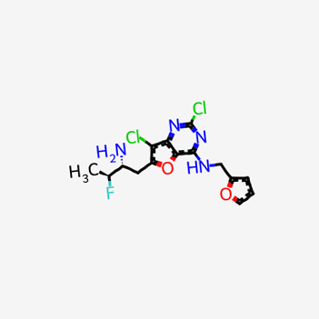 C[C@H](F)[C@H](N)Cc1oc2c(NCc3ccco3)nc(Cl)nc2c1Cl